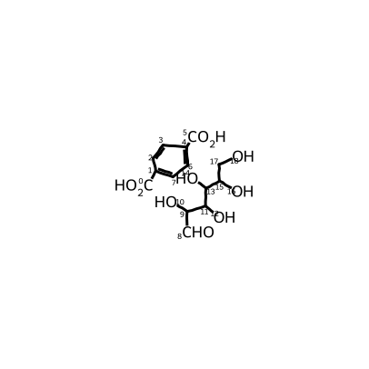 O=C(O)c1ccc(C(=O)O)cc1.O=CC(O)C(O)C(O)C(O)CO